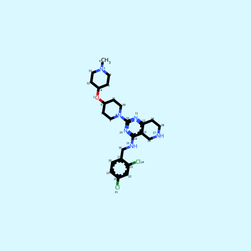 CN1CCC(OC2CCN(c3nc4c(c(NCc5ccc(Cl)cc5Cl)n3)CNCC4)CC2)CC1